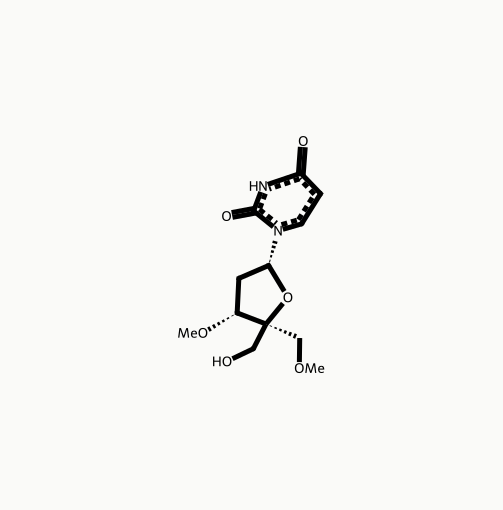 COC[C@@]1(CO)O[C@@H](n2ccc(=O)[nH]c2=O)C[C@H]1OC